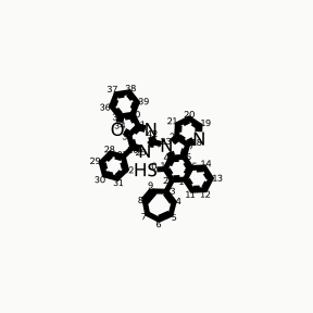 Sc1c(C2=CC=CCC#C2)c2ccccc2c2c3ncccc3n(-c3nc(-c4ccccc4)c4oc5ccccc5c4n3)c12